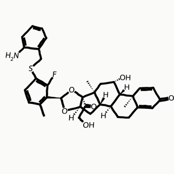 Cc1ccc(SCc2ccccc2N)c(F)c1[C@@H]1O[C@@H]2C[C@H]3[C@@H]4CCC5=CC(=O)C=C[C@]5(C)[C@H]4[C@@H](O)C[C@]3(C)[C@]2(C(=O)CO)O1